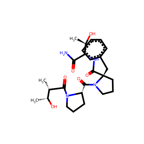 C[C@H](C(=O)N1CCC[C@H]1C(=O)N1CCC[C@@]1(Cc1ccccc1)C(=O)N[C@H](C(N)=O)[C@@H](C)O)[C@@H](C)O